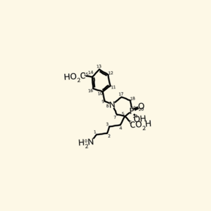 NCCCCC1(C(=O)O)CN(Cc2cccc(C(=O)O)c2)CCP1(=O)O